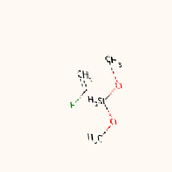 C=CF.CO[SiH2]OC